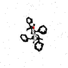 C[SiH](C)[CH](c1ccccc1)[Sn]([CH2]C(C)(C)c1ccccc1)([CH2]C(C)(C)c1ccccc1)[CH](c1ccccc1)[SiH](C)C